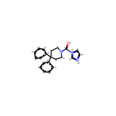 O=C(N1CCC(c2ccccc2)(c2ccccc2)CC1)n1ccnc1